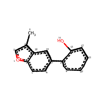 Cc1coc2ccc(-c3ccccc3O)cc12